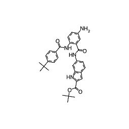 CC(C)(C)OC(=O)c1cc2ccc(NC(=O)c3cc(N)ccc3NC(=O)c3ccc(C(C)(C)C)cc3)cc2[nH]1